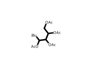 CCC(C)C(OC(C)=O)C(OC(C)=O)C(COC(C)=O)OC(C)=O